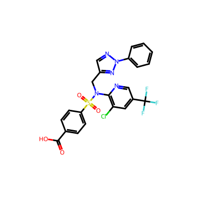 O=C(O)c1ccc(S(=O)(=O)N(Cc2cnn(-c3ccccc3)n2)c2ncc(C(F)(F)F)cc2Cl)cc1